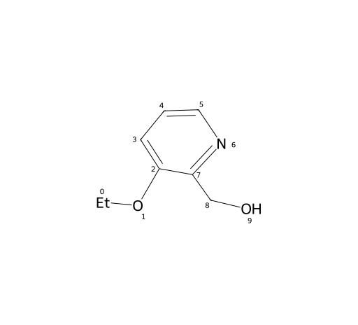 CCOc1cccnc1CO